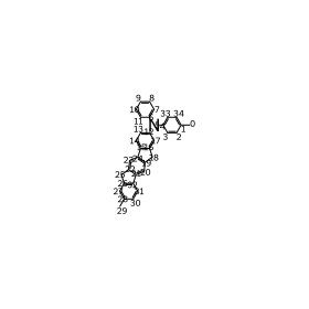 Cc1ccc(N(c2ccccc2)c2ccc3c(c2)Cc2cc4c(cc2-3)Cc2cc(C)ccc2-4)cc1